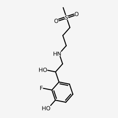 CS(=O)(=O)CCCNCC(O)c1cccc(O)c1F